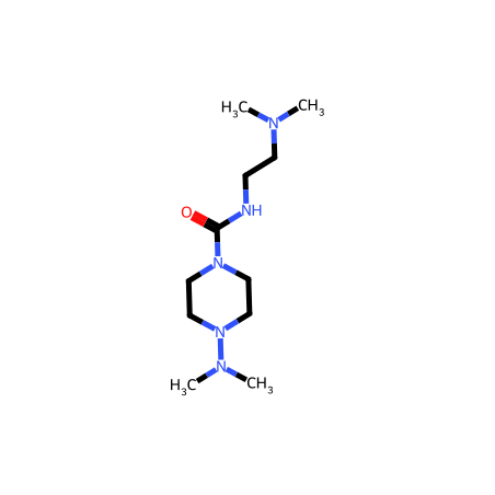 CN(C)CCNC(=O)N1CCN(N(C)C)CC1